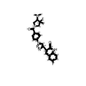 CN(C)C1CN(C(=O)c2ccc(-n3cc(-c4cc5cc(F)ccc5[nH]c4=O)nn3)cc2)CC1(F)F